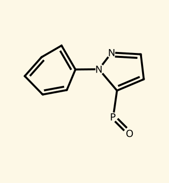 O=Pc1ccnn1-c1ccccc1